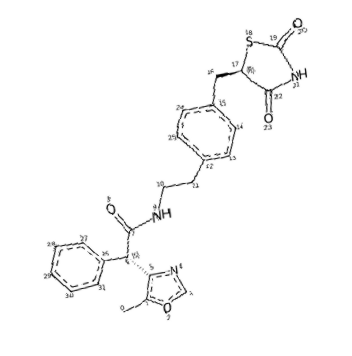 Cc1ocnc1[C@@H](C(=O)NCCc1ccc(C[C@H]2SC(=O)NC2=O)cc1)c1ccccc1